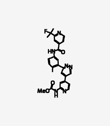 COC(=O)Nc1cc(-c2cnnc(-c3cc(NC(=O)c4ccnc(C(C)(C)F)c4)ccc3C)c2)ccn1